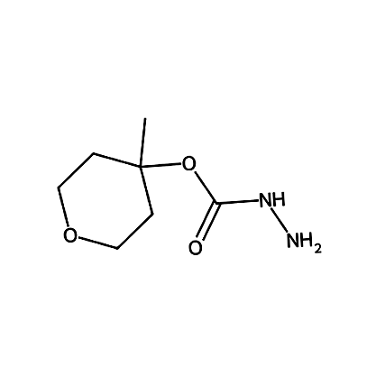 CC1(OC(=O)NN)CCOCC1